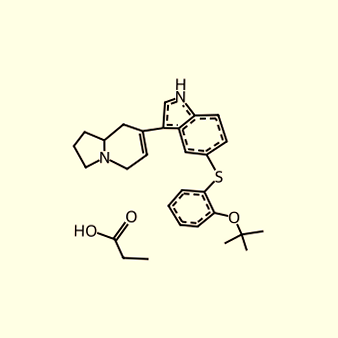 CC(C)(C)Oc1ccccc1Sc1ccc2[nH]cc(C3=CCN4CCCC4C3)c2c1.CCC(=O)O